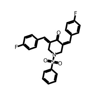 O=C1/C(=C\c2ccc(F)cc2)CN(S(=O)(=O)c2ccccc2)C/C1=C\c1ccc(F)cc1